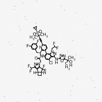 CC(C)(O)c1nnc(Nc2nn(CC(F)F)c3c(-c4ccc(C#CC(C)(C)S(=O)(=O)C5CC5)nc4[C@H](Cc4cc(F)cc(F)c4)NC(=O)Cn4nc(C(F)F)c5c4C(F)(F)[C@@H]4CC[C@H]54)ccc(Cl)c23)o1